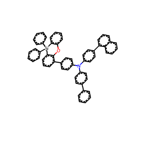 c1ccc(-c2ccc(N(c3ccc(-c4cccc5c4Oc4ccccc4[Si]5(c4ccccc4)c4ccccc4)cc3)c3ccc(-c4cccc5ccccc45)cc3)cc2)cc1